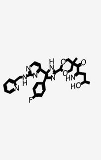 CC(O)CC(=N)C(=O)C1(C)COC(c2nc(-c3ccc(F)cc3)c(-c3ccnc(NCc4ccccn4)n3)[nH]2)OC1